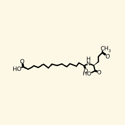 CC(=O)CC[C@H](NC(=O)CCCCCCCCCCCCC(=O)O)C(=O)O